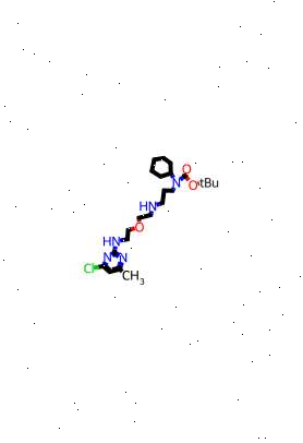 Cc1cc(Cl)nc(NCCOCCNCCCN(C(=O)OC(C)(C)C)C2CCCCC2)n1